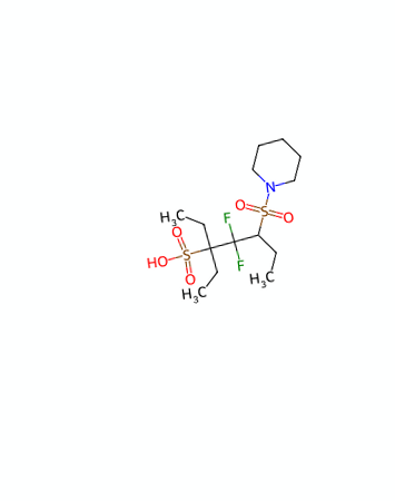 CCC(C(F)(F)C(CC)(CC)S(=O)(=O)O)S(=O)(=O)N1CCCCC1